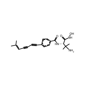 CC(C)=CC#CC#Cc1ccc(C(=O)N[C@H](C(=O)NO)C(C)(C)N)cc1